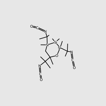 CC(C)(N=C=O)C1(C)C[Si](C)(C(C)(C)N=C=O)[Si](C)(C)[Si](C)(C(C)(C)N=C=O)O1